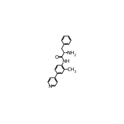 Cc1cc(-c2ccncc2)ccc1NC(=O)[C@H](N)Cc1ccccc1